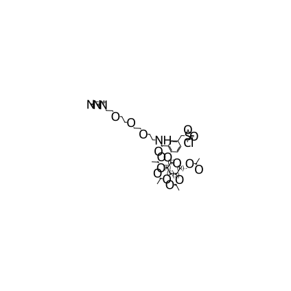 CC(=O)OC[C@H]1O[C@@H](Oc2ccc(CS(=O)(=O)Cl)cc2C(=O)NCCOCCOCCOCCN=[N+]=[N-])[C@H](OC(C)=O)[C@@H](OC(C)=O)[C@H]1OC(C)=O